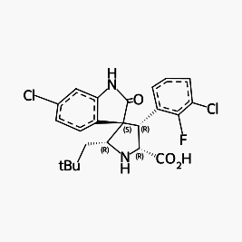 CC(C)(C)C[C@H]1N[C@@H](C(=O)O)[C@@H](c2cccc(Cl)c2F)[C@@]12C(=O)Nc1cc(Cl)ccc12